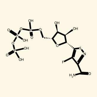 NC(=O)c1nsc([C@@H]2O[C@H](COP(=O)(O)OP(=O)(O)OP(=O)(O)O)[C@@H](O)[C@H]2O)c1F